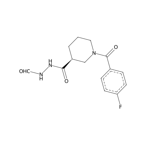 O=CNNC(=O)[C@H]1CCCN(C(=O)c2ccc(F)cc2)C1